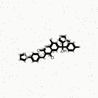 Cc1ccc(C(O)(c2cc(C)c3nc(Cl)c(Cc4ccc(-n5cccn5)cc4)c(Cl)c3c2)c2cncn2C)cc1